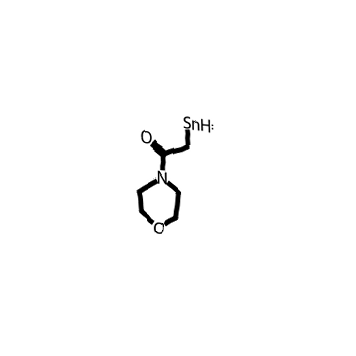 O=C([CH2][SnH])N1CCOCC1